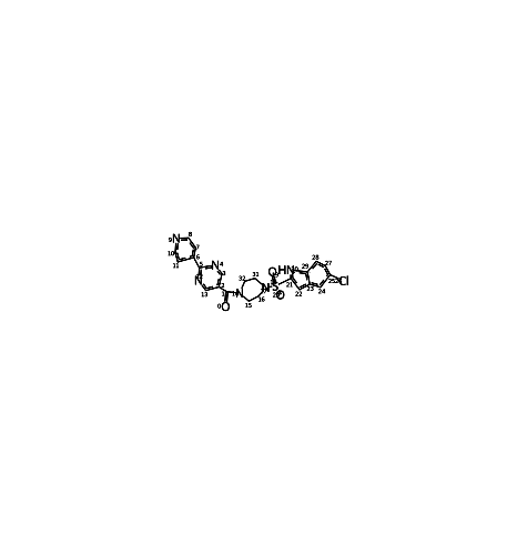 O=C(c1cnc(-c2ccncc2)nc1)N1CCN(S(=O)(=O)c2cc3cc(Cl)ccc3[nH]2)CC1